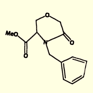 COC(=O)C1COCC(=O)N1Cc1ccccc1